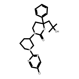 CC(C)(O)CC1(c2ccccc2)CCN(C2CCCN(c3ncc(Cl)cn3)C2)C(=O)O1